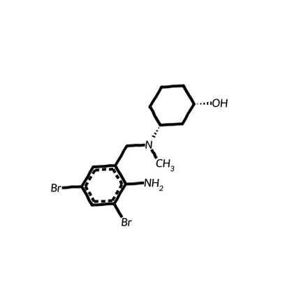 CN(Cc1cc(Br)cc(Br)c1N)[C@@H]1CCC[C@H](O)C1